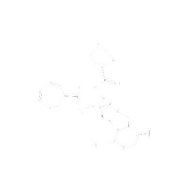 CCc1ccc(C)c2c1CC1C3CC(C(OC(=O)C4=CCC=CC=C4)C3OC(=O)c3ccccc3)C21